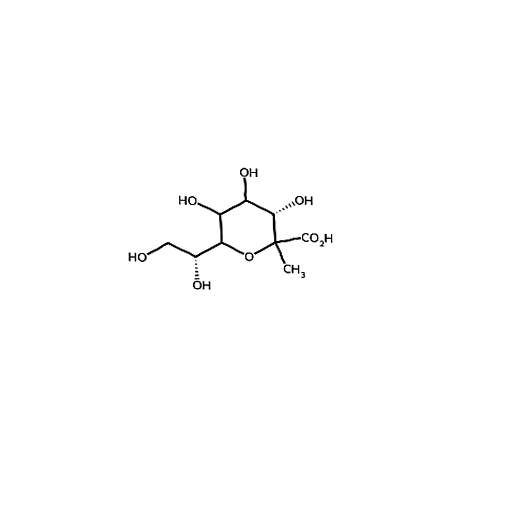 CC1(C(=O)O)OC([C@H](O)CO)C(O)C(O)[C@@H]1O